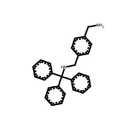 NCc1ccc(CNC(c2ccccc2)(c2ccccc2)c2ccccc2)cc1